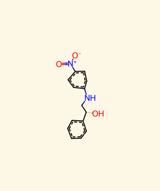 O=[N+]([O-])c1ccc(NC[C@H](O)c2ccccc2)cc1